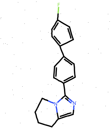 Fc1ccc(-c2ccc(-c3ncc4n3CCCC4)cc2)cc1